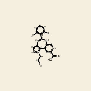 O=C(O)c1cc2c(cn1)NC(c1c(F)cccc1F)=Nc1cnn(CCF)c1-2